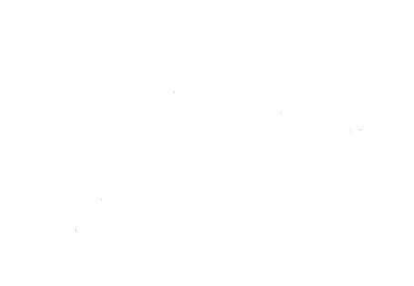 FC(F)(F)CCCSCCCCCOc1ccc(C2=C(c3ccccc3)CCCc3cc(OC4CCCCO4)ccc32)cc1